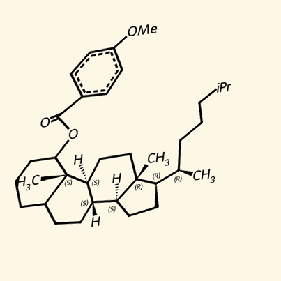 COc1ccc(C(=O)OC2CCCC3CC[C@@H]4[C@H](CC[C@]5(C)[C@@H]([C@H](C)CCCC(C)C)CC[C@@H]45)[C@]32C)cc1